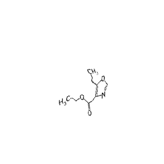 CCOC(=O)c1ncoc1CC